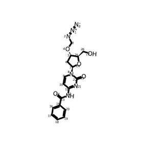 [N-]=[N+]=NCO[C@H]1C[C@H](n2ccc(NC(=O)c3ccccc3)nc2=O)O[C@@H]1CO